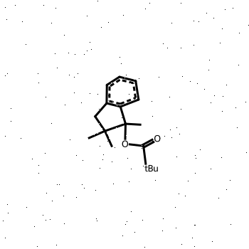 CC(C)(C)C(=O)OC1(C)c2ccccc2CC1(C)C